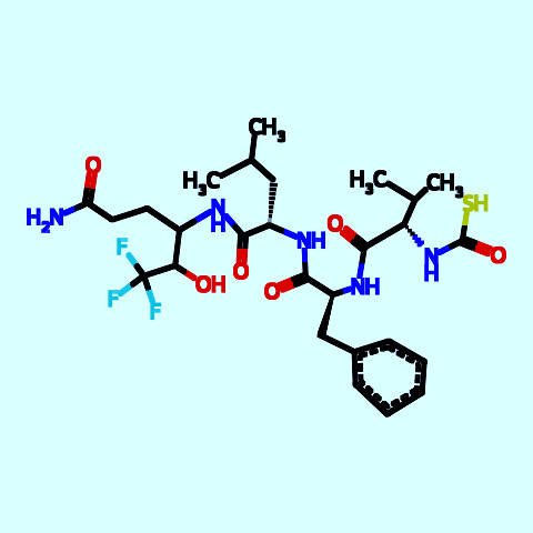 CC(C)C[C@H](NC(=O)[C@H](Cc1ccccc1)NC(=O)[C@@H](NC(=O)S)C(C)C)C(=O)NC(CCC(N)=O)C(O)C(F)(F)F